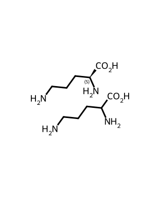 NCCCC(N)C(=O)O.NCCC[C@H](N)C(=O)O